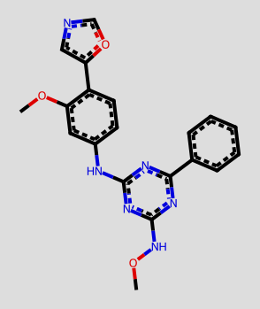 CONc1nc(Nc2ccc(-c3cnco3)c(OC)c2)nc(-c2ccccc2)n1